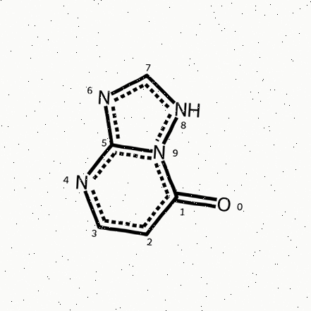 O=c1ccnc2nc[nH]n12